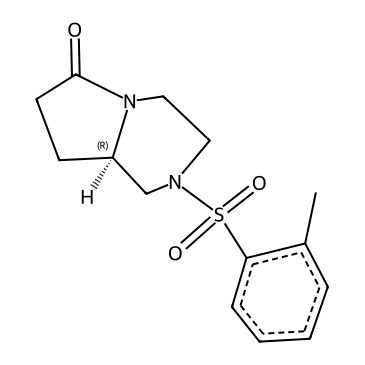 Cc1ccccc1S(=O)(=O)N1CCN2C(=O)CC[C@@H]2C1